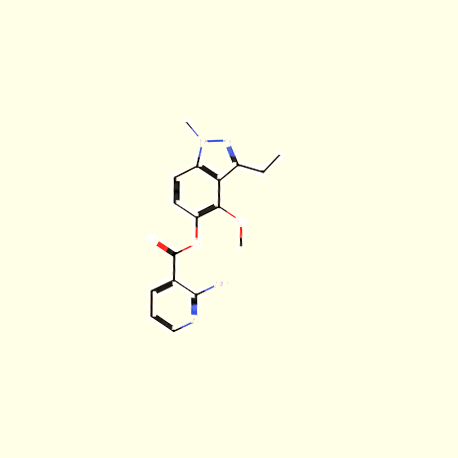 CCc1nn(C)c2ccc(OC(=O)c3cccnc3N)c(OC)c12